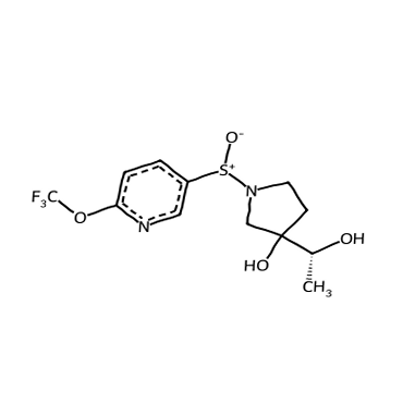 C[C@@H](O)C1(O)CCN([S+]([O-])c2ccc(OC(F)(F)F)nc2)C1